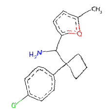 Cc1ccc(C(N)C2(c3ccc(Cl)cc3)CCC2)o1